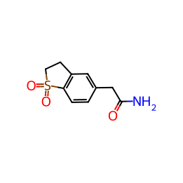 NC(=O)Cc1ccc2c(c1)CCS2(=O)=O